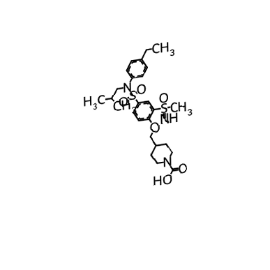 CCc1ccc(N(CC(C)C)S(=O)(=O)c2ccc(OCC3CCN(C(=O)O)CC3)c(S(C)(=N)=O)c2)cc1